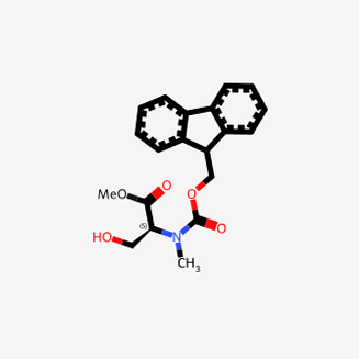 COC(=O)[C@H](CO)N(C)C(=O)OCC1c2ccccc2-c2ccccc21